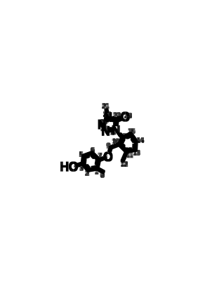 Cc1cc(O)ccc1OCc1c(C)cccc1-n1nnn(C)c1=O